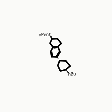 CCCCCC1CCc2cc([C@H]3CC[C@H](CCCC)CC3)ccc2C1